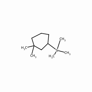 CC1(C)CCCC([Si](C)(C)C)C1